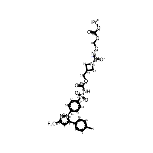 Cc1ccc(-c2cc(C(F)(F)F)nn2-c2ccc(S(=O)(=O)NC(=O)OCC3CN(/[N+]([O-])=N/OCOC(=O)OC(C)C)C3)cc2)cc1